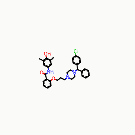 Cc1cc(NC(=O)c2ccccc2OCCCN2CCN(C(c3ccccc3)c3ccc(Cl)cc3)CC2)cc(C)c1O